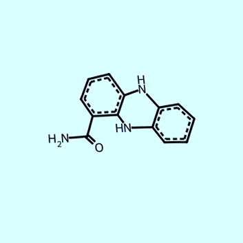 NC(=O)c1cccc2c1Nc1ccccc1N2